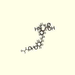 CCCCOCCOc1ccc(CCCc2ccc3c(c2)C=C(C(=O)O)CCCN3)cc1